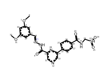 COc1cc(/C=N/NC(=O)c2cncc(-c3ccc(C(=O)NC[SH](=O)=O)cc3)n2)cc(OC)c1